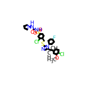 COc1cc(C(C)(C)c2cnc(SCc3ccc(S(=O)(=O)NC(=O)Nn4cccc4)cc3Cl)n2-c2ccc(F)cc2)ccc1Cl